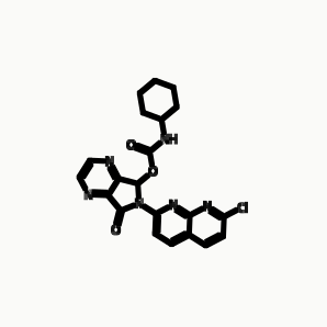 O=C(NC1CCCCC1)OC1c2nccnc2C(=O)N1c1ccc2ccc(Cl)nc2n1